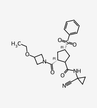 CCOC1CN(C(=O)[C@@H]2C[C@H](S(=O)(=O)c3ccccc3)CC2C(=O)NC2(C#N)CC2)C1